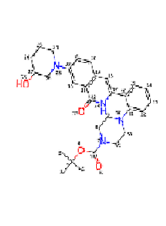 CC(C)(C)OC(=O)N1CCN(c2ccccc2-c2cc3ccc(N4CCCC(O)C4)cc3c(=O)[nH]2)CC1